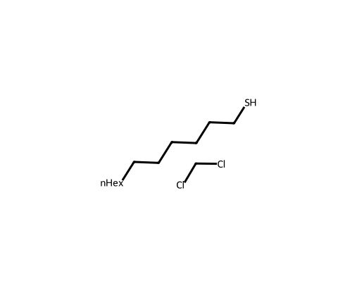 CCCCCCCCCCCCS.ClCCl